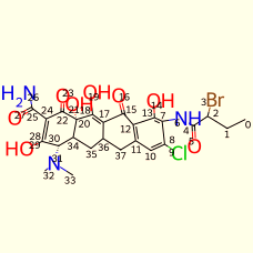 CCC(Br)C(=O)Nc1c(Cl)cc2c(c1O)C(=O)C1=C(O)[C@]3(O)C(=O)C(C(N)=O)=C(O)[C@@H](N(C)C)C3CC1C2